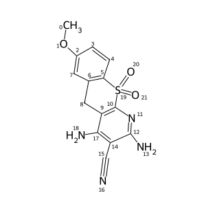 COc1ccc2c(c1)Cc1c(nc(N)c(C#N)c1N)S2(=O)=O